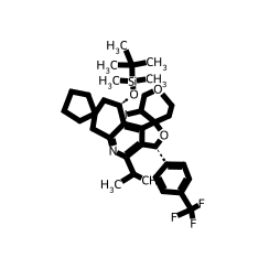 CC(C)c1nc2c(c3c1[C@@H](c1ccc(C(F)(F)F)cc1)OC31CCOCC1I)[C@@H](O[Si](C)(C)C(C)(C)C)CC1(CCCC1)C2